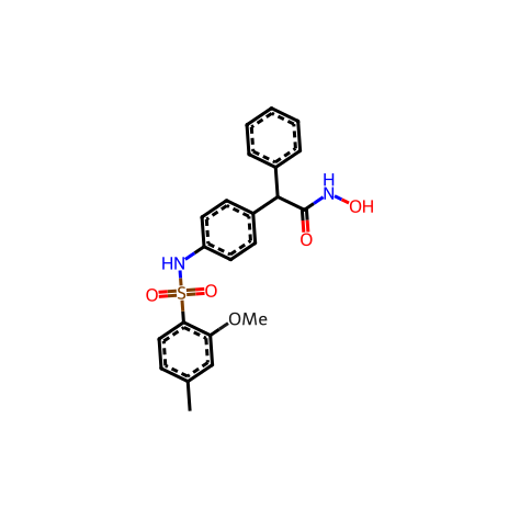 COc1cc(C)ccc1S(=O)(=O)Nc1ccc(C(C(=O)NO)c2ccccc2)cc1